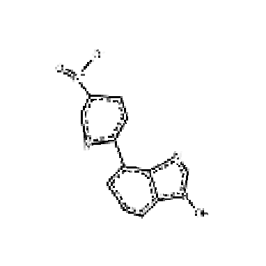 O=[N+]([O-])c1ccc(-c2cccc3c2ncn3O)nc1